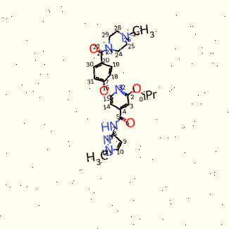 CC(C)Oc1cc(C(=O)Nc2ccn(C)n2)cc(Oc2ccc(C(=O)N3CCN(C)CC3)cc2)n1